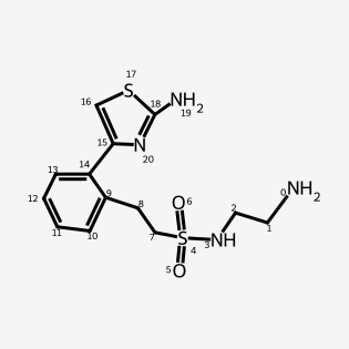 NCCNS(=O)(=O)CCc1ccccc1-c1csc(N)n1